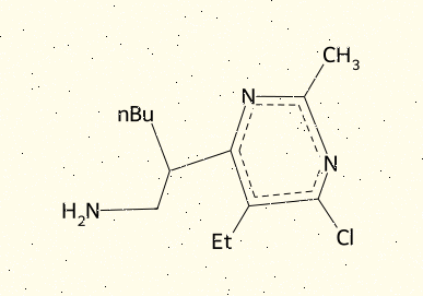 CCCCC(CN)c1nc(C)nc(Cl)c1CC